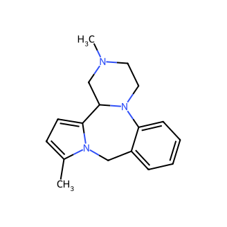 Cc1ccc2n1Cc1ccccc1N1CCN(C)CC21